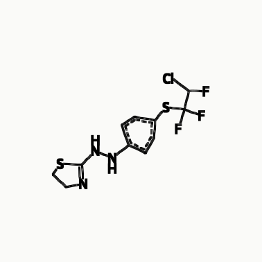 FC(Cl)C(F)(F)Sc1ccc(NNC2=NCCS2)cc1